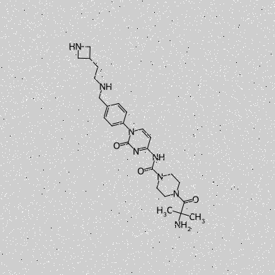 CC(C)(N)C(=O)N1CCN(C(=O)Nc2ccn(-c3ccc(CNCCC4CNC4)cc3)c(=O)n2)CC1